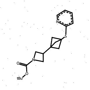 CC(C)(C)OC(=O)N1CC(C23CC(Sc4ccccn4)(C2)C3)C1